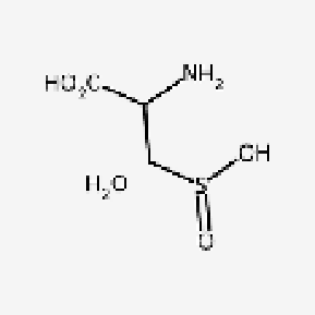 NC(CS(=O)O)C(=O)O.O